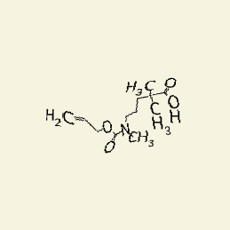 C=CCOC(=O)N(C)CCCC(C)(C)C(=O)O